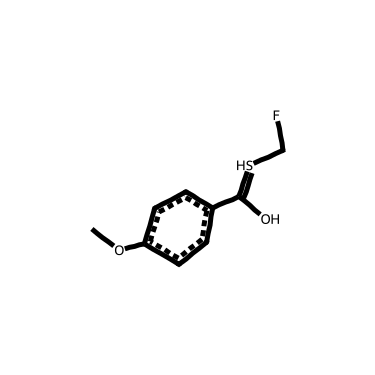 COc1ccc(C(O)=[SH]CF)cc1